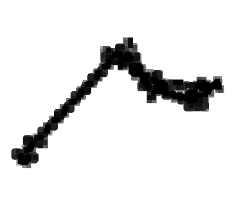 COc1cc2c(cc1OCCCOc1cc3c(cc1OC)C(=O)N1C=C(c4ccc(NC(=O)[C@H](C)NC(=O)[C@@H](NC(=O)CCOCCOCCOCCOCCOCCOCCOCCOCCNC(=O)CCN5C(=O)C=CC5=O)C(C)C)cc4)C[C@H]1CN3)N=C[C@@H]1CC(C3CC3)=CN1C2=O